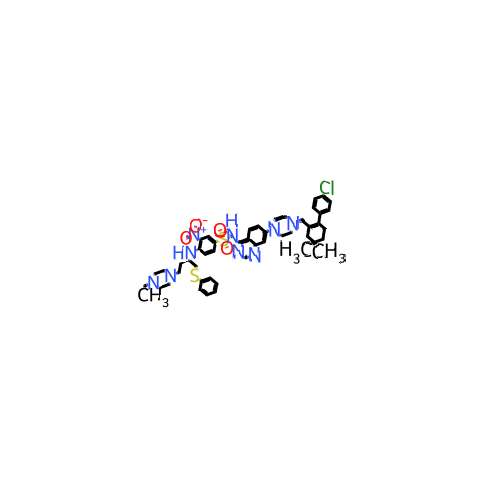 CCN1CCN(CC[C@H](CSc2ccccc2)Nc2ccc(S(=O)(=O)Nc3ncnc4cc(N5CCN(CC6=C(c7ccc(Cl)cc7)CCC(C)(C)C6)CC5)ccc34)cc2[N+](=O)[O-])CC1